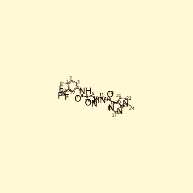 Cc1ccc(NC(=O)c2cc(CNC(=O)c3ncnc4c3ccn4C)no2)cc1C(F)(F)F